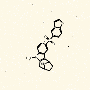 Cn1c2c(c3cc(S(=O)(=O)c4ccc5sccc5c4)ccc31)C1CCC(C2)N1